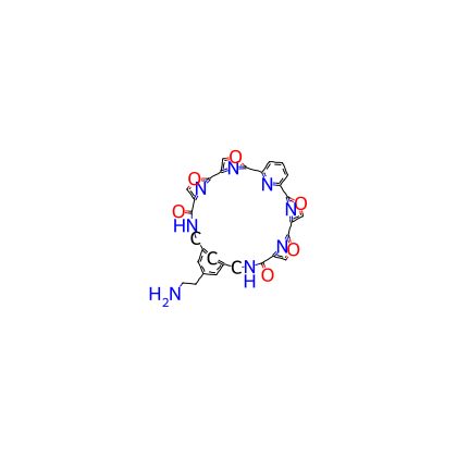 NCCc1cc2cc(c1)CNC(=O)c1coc(n1)-c1coc(n1)-c1cccc(n1)-c1nc(co1)-c1nc(co1)C(=O)NC2